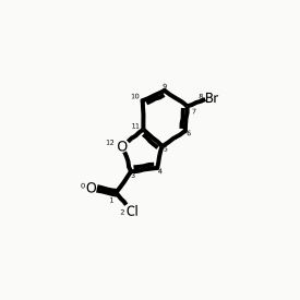 O=C(Cl)c1cc2cc(Br)ccc2o1